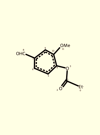 C[CH]C(=O)Oc1ccc(C=O)cc1OC